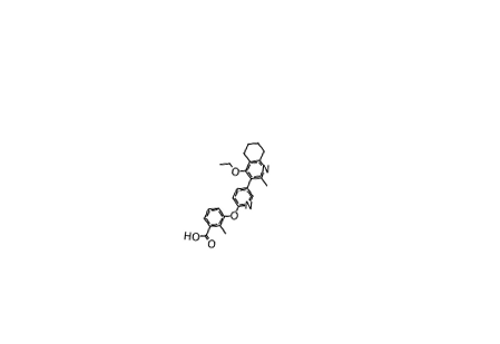 CCOc1c2c(nc(C)c1-c1ccc(Oc3cccc(C(=O)O)c3C)nc1)CCCC2